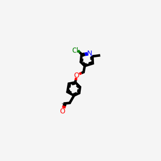 Cc1cc(COc2ccc(C[C]=O)cc2)cc(Cl)n1